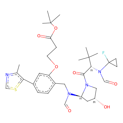 Cc1ncsc1-c1ccc(CN(C=O)[C@@H]2C[C@@H](O)CN2C(=O)[C@@H](N(C=O)C2(F)CC2)C(C)(C)C)c(OCCC(=O)OC(C)(C)C)c1